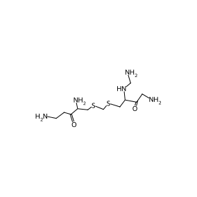 NCCC(=O)C(N)CSCSCC(NCN)C(=O)CN